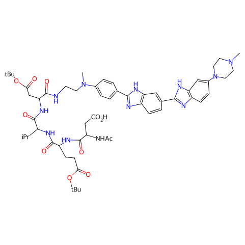 CC(=O)NC(CC(=O)O)C(=O)NC(CCC(=O)OC(C)(C)C)C(=O)NC(C(=O)NC(CC(=O)OC(C)(C)C)C(=O)NCCN(C)c1ccc(-c2nc3ccc(-c4nc5ccc(N6CCN(C)CC6)cc5[nH]4)cc3[nH]2)cc1)C(C)C